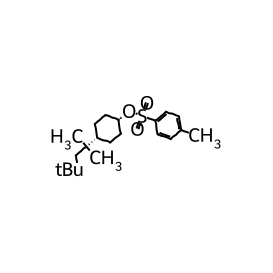 Cc1ccc(S(=O)(=O)O[C@H]2CC[C@@H](C(C)(C)CC(C)(C)C)CC2)cc1